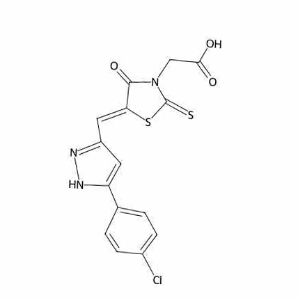 O=C(O)CN1C(=O)C(=Cc2cc(-c3ccc(Cl)cc3)[nH]n2)SC1=S